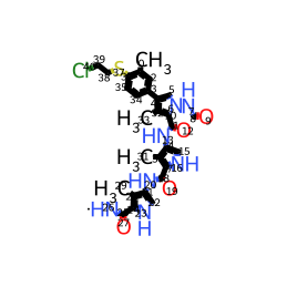 Cc1cc(-c2cn(NC=O)c(C(=O)Nc3c[nH]c(C(=O)Nc4c[nH]c(C([NH])=O)c4C)c3C)c2C)ccc1SCCCl